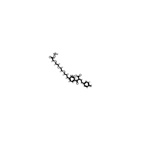 COC(=O)C(CCc1ccc(F)cc1)C(=O)c1ccc(CCCOCCOCCOCC(=O)OC(C)(C)C)cc1